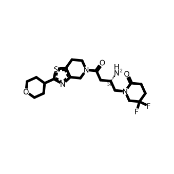 N[C@@H](CC(=O)N1CCc2sc(C3CCOCC3)nc2C1)CN1CC(F)(F)CCC1=O